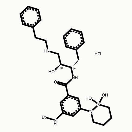 CCNc1cc(C(=O)N[C@@H](Cc2ccccc2)[C@@H](O)CNCCc2ccccc2)cc(N2CCCCS2(O)O)c1.Cl